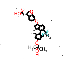 Cc1cc(OCC(C)(C)O)cc(C)c1-c1c(C(F)(F)F)ccc2c1CC[C@H]2Oc1ccc2c(c1)OC[C@H]2CC(=O)O